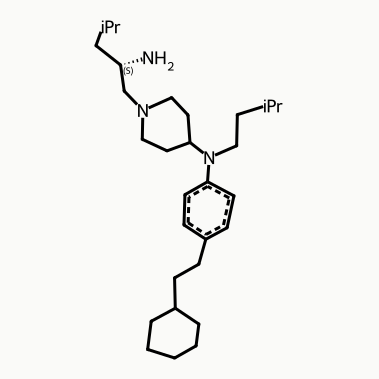 CC(C)CCN(c1ccc(CCC2CCCCC2)cc1)C1CCN(C[C@@H](N)CC(C)C)CC1